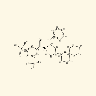 O=C(c1cc(C(F)(F)F)cc(C(F)(F)F)c1)N1CCC(N2CCCC3(CCCCC3)C2)CC1Cc1ccccc1